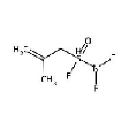 C=C(C)C[SH](=O)(F)N(F)F